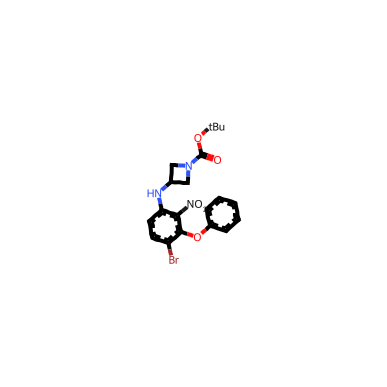 CC(C)(C)OC(=O)N1CC(Nc2ccc(Br)c(Oc3ccccc3)c2[N+](=O)[O-])C1